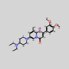 CCN(CC)C1CCN(C2=CN3C(=O)C=C(c4ccc(OC)c(OC)c4)PC3C(C)=C2)CC1